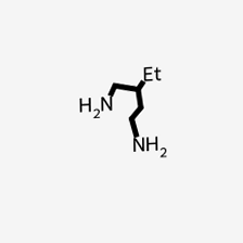 CCC(CN)CCN